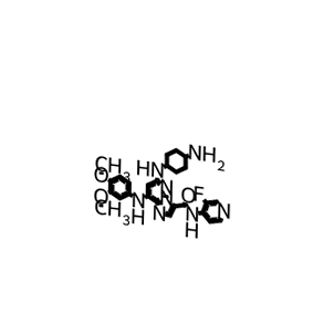 COc1ccc(Nc2cc(NC3CCC(N)CC3)nn3c(C(=O)Nc4ccncc4F)cnc23)cc1OC